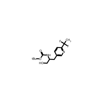 CC(C)(C)OC(=O)NC(CO)Cc1ccc(C(C)(F)F)nc1